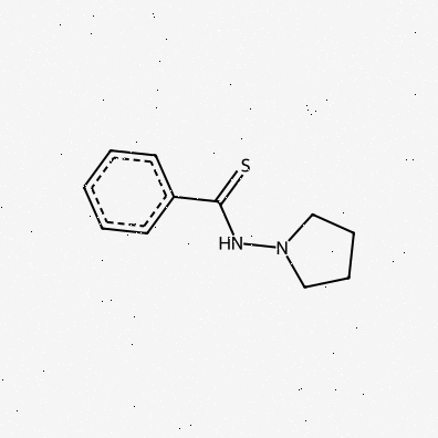 S=C(NN1CCCC1)c1ccccc1